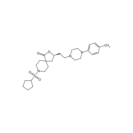 Cc1ccc(N2CCN(CC[C@H]3CC4(CCN(S(=O)(=O)C5CCCC5)CC4)C(=O)O3)CC2)cc1